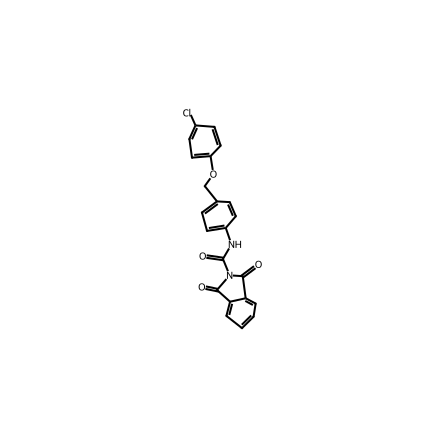 O=C(Nc1ccc(COc2ccc(Cl)cc2)cc1)N1C(=O)c2ccccc2C1=O